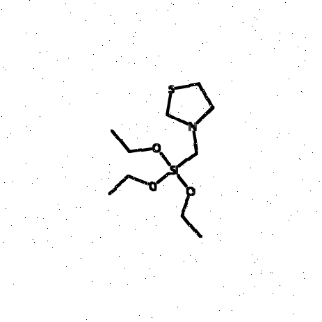 CCO[Si](CN1CCSC1)(OCC)OCC